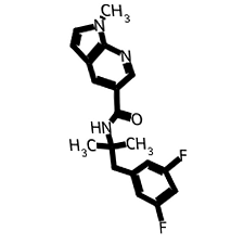 Cn1ccc2cc(C(=O)NC(C)(C)Cc3cc(F)cc(F)c3)cnc21